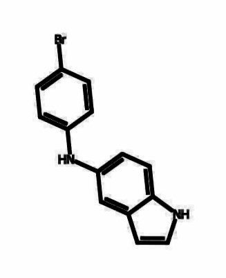 Brc1ccc(Nc2ccc3[nH]ccc3c2)cc1